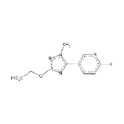 CCOC(=O)COc1nc(-c2ccc(F)nc2)n(C)n1